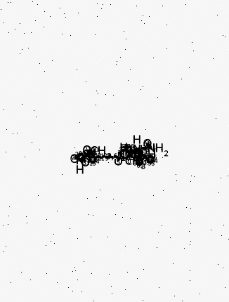 C[C@H]1CN(C(=O)CCCCCCCc2cccc3c2n(C)c(=O)n3C2CCC(=O)NC2=O)CC[C@H]2CC[C@@H](C(=O)N[C@@H](CCC(N)=O)C(=O)NC(c3ccccc3)c3ccccc3)N2C1=O